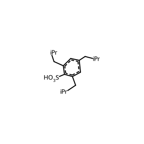 CC(C)Cc1cc(CC(C)C)c(S(=O)(=O)O)c(CC(C)C)c1